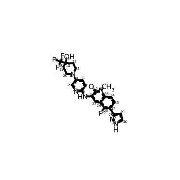 Cn1c(=O)c(Nc2ccc(N3CCC(O)(C(F)(F)F)CC3)cn2)cc2c(F)c(-c3cc[nH]n3)ccc21